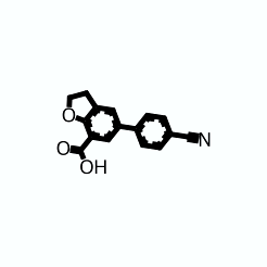 N#Cc1ccc(-c2cc3c(c(C(=O)O)c2)OCC3)cc1